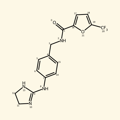 O=C(NCc1ccc(NC2=NCCN2)cc1)c1ccc(C(F)(F)F)o1